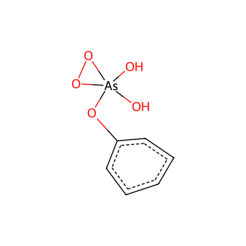 O[As]1(O)(Oc2ccccc2)OO1